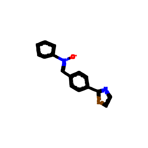 [O-][N+](=Cc1ccc(-c2nccs2)cc1)c1ccccc1